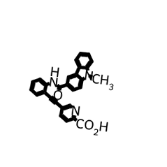 Cn1c2ccccc2c2cc(C(=O)Nc3ccccc3C#Cc3ccc(C(=O)O)nc3)ccc21